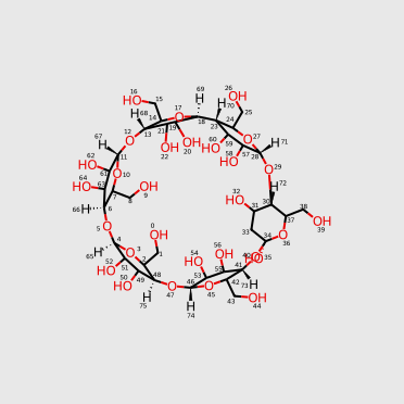 OCC1O[C@@H]2O[C@@H]3C(CO)O[C@@H](O[C@@H]4C(CO)O[C@H](C(O)C4O)[C@@H]4C(CO)O[C@H](O[C@H]5C(O)C[C@@](O)(OC5CO)O[C@@H]5C(CO)O[C@H](O[C@H]1C(O)C2O)C(O)C5O)C(O)C4O)C(O)C3O